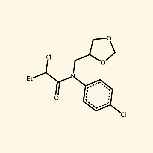 CCC(Cl)C(=O)N(CC1COCO1)c1ccc(Cl)cc1